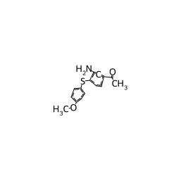 COc1ccc(Sc2ccc(C(C)=O)cc2N)cc1